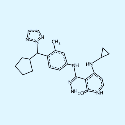 Cc1cc(N/C(=N/N)c2c(NC3CC3)cc[nH]c2=O)ccc1C(C1CCCC1)n1nccn1